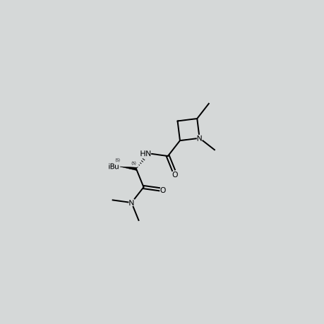 CC[C@H](C)[C@H](NC(=O)C1CC(C)N1C)C(=O)N(C)C